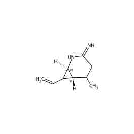 C=CC1[C@H]2C(C)CC(=N)N[C@H]12